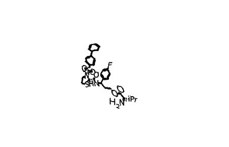 CC(C)[C@H](N)C(=O)OCCC(NC(=O)[C@@H]1SCCN1S(=O)(=O)c1ccc(-c2ccccc2)cc1)c1ccc(F)cc1